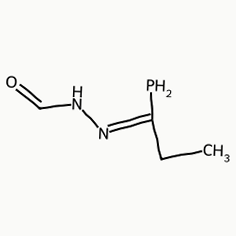 CC/C(P)=N/NC=O